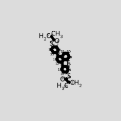 C=C(C)C(=O)Sc1ccc(-c2ccc(-c3ccc(SC(=O)C(=C)C)cc3F)c3ccccc23)cc1